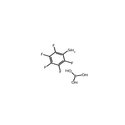 Fc1c(F)c(F)c([SiH3])c(F)c1F.OB(O)O